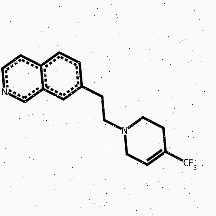 FC(F)(F)C1=CCN(CCc2ccc3ccncc3c2)CC1